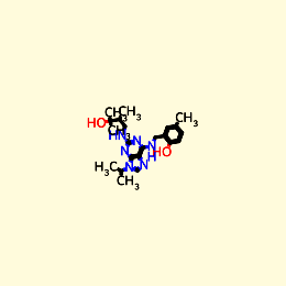 Cc1ccc(O)c(CNc2nc(NCC(C)C(C)(C)O)nc3c2ncn3C(C)C)c1